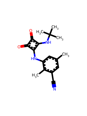 Cc1cc(C#N)c(C)c(Nc2c(NC(C)(C)C)c(=O)c2=O)c1